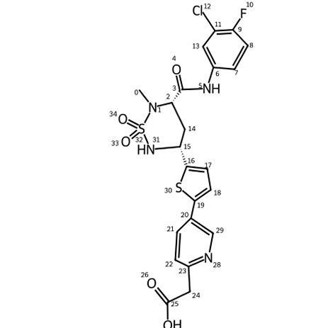 CN1[C@H](C(=O)Nc2ccc(F)c(Cl)c2)C[C@H](c2ccc(-c3ccc(CC(=O)O)nc3)s2)NS1(=O)=O